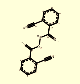 N#Cc1ccccc1C(=S)SSC(=S)c1ccccc1C#N